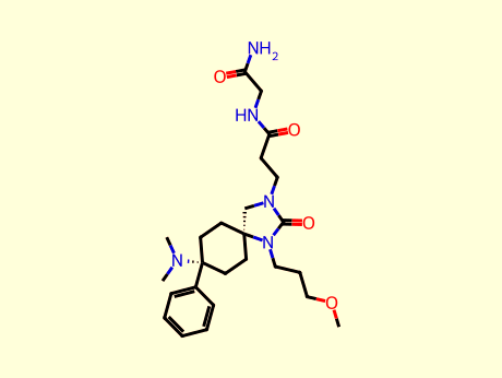 COCCCN1C(=O)N(CCC(=O)NCC(N)=O)C[C@]12CC[C@@](c1ccccc1)(N(C)C)CC2